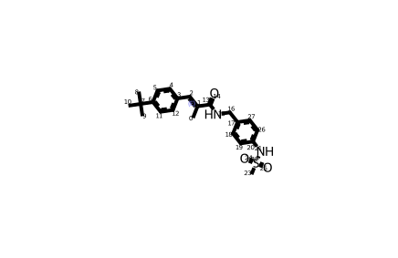 C/C(=C\c1ccc(C(C)(C)C)cc1)C(=O)NCc1ccc(NS(C)(=O)=O)cc1